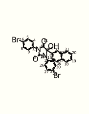 O=C1N(c2ccc(Br)cc2)C(=O)C(O)(c2ccc3ccccc3c2)N1c1ccc(Br)cc1